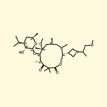 COCC(C)N1CC([C@@H]2COC(=O)C(C)(C)C(=O)[C@H](C)[C@@H](O[C@@H]3O[C@H](C)C[C@H](N(C)C)[C@H]3O)[C@](C)(OC)C[C@@H](C)CN2C)C1